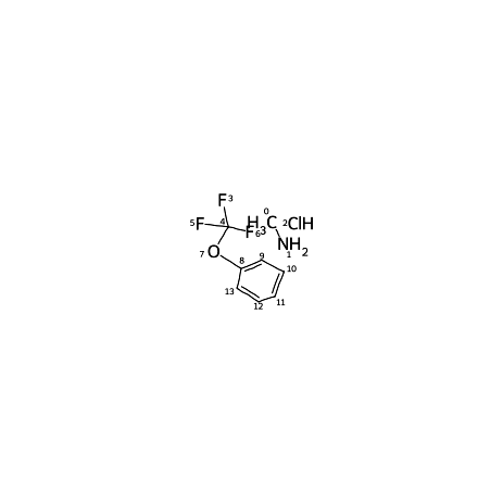 CN.Cl.FC(F)(F)Oc1ccccc1